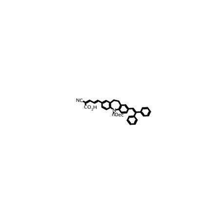 CCCCCCCCCCN1c2ccc(C=C(c3ccccc3)c3ccccc3)cc2CCc2cc(/C=C/C=C(/C#N)C(=O)O)ccc21